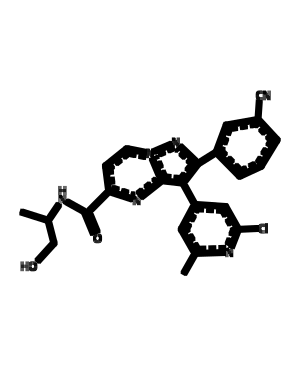 Cc1cc(-c2c(-c3cccc(C#N)c3)nn3ccc(C(=O)NC(C)CO)nc23)cc(Cl)n1